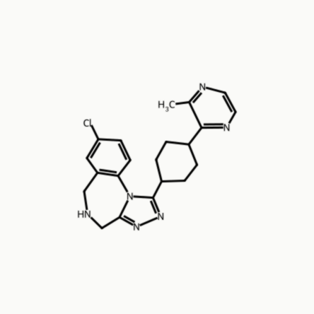 Cc1nccnc1C1CCC(c2nnc3n2-c2ccc(Cl)cc2CNC3)CC1